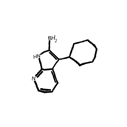 Bc1[nH]c2ncccc2c1C1CCCCC1